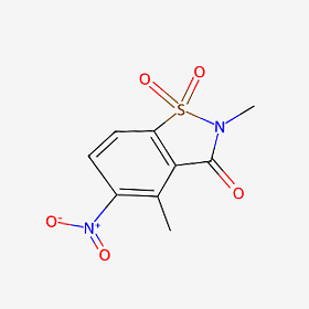 Cc1c([N+](=O)[O-])ccc2c1C(=O)N(C)S2(=O)=O